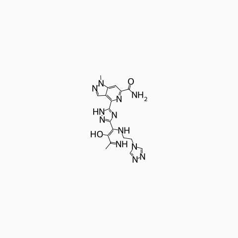 CC(=N)/C(O)=C(\NCCn1cnnc1)c1n[nH]c(-c2nc(C(N)=O)cc3c2cnn3C)n1